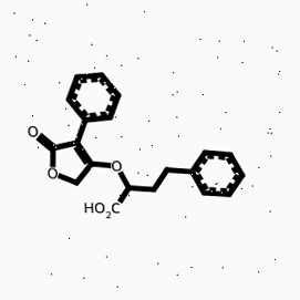 O=C1OCC(OC(CCc2ccccc2)C(=O)O)=C1c1ccccc1